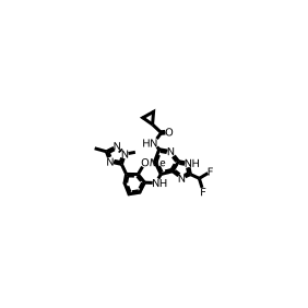 COc1c(Nc2cc(NC(=O)C3CC3)nc3[nH]c(C(F)F)nc23)cccc1-c1nc(C)nn1C